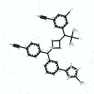 CC(C)(F)C(c1cc(F)cc(C#N)c1)C1CN(C(c2ccc(C#N)cc2)c2cccc(-c3nnc(N)o3)c2)C1